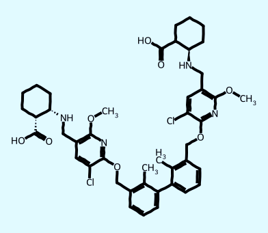 COc1nc(OCc2cccc(-c3cccc(COc4nc(OC)c(CN[C@@H]5CCCCC5C(=O)O)cc4Cl)c3C)c2C)c(Cl)cc1CN[C@H]1CCCC[C@H]1C(=O)O